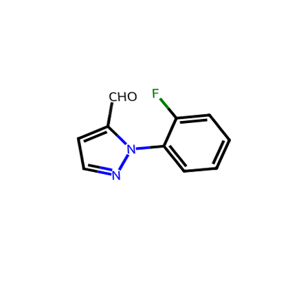 O=Cc1ccnn1-c1ccccc1F